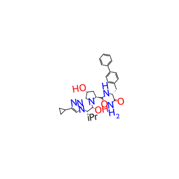 CC(C)[C@@H](C(O)N1C[C@H](O)C[C@H]1C(=O)N[C@H](Cc1ccc(-c2ccccc2)cc1)C(N)=O)n1cc(C2CC2)nn1